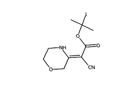 CC(C)(I)OC(=O)/C(C#N)=C1/COCCN1